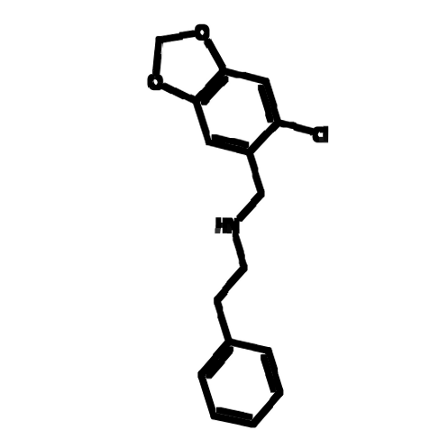 Clc1cc2c(cc1CNCCc1ccccc1)OCO2